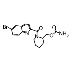 NC(=O)OCC1CCCCN1C(=O)c1ccc2cc(Br)ccc2n1